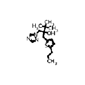 CCCc1ccc(CC(O)(Cn2cncn2)C(C)(C)C)s1